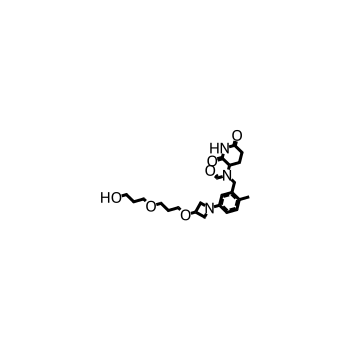 Cc1ccc(N2CC(OCCCOCCCO)C2)cc1CN(C=O)C1CCC(=O)NC1=O